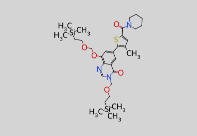 Cc1cc(C(=O)N2CCCCC2)sc1-c1cc(OCOCC[Si](C)(C)C)c2ncn(COCC[Si](C)(C)C)c(=O)c2c1